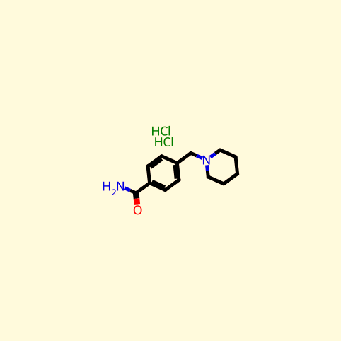 Cl.Cl.NC(=O)c1ccc(CN2CCCCC2)cc1